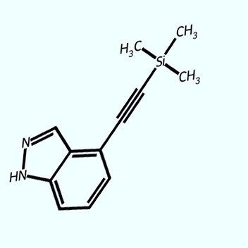 C[Si](C)(C)C#Cc1cccc2[nH]ncc12